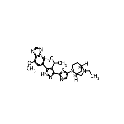 CCN1C[C@H]2C[C@@H]1CCN2c1cnc(-c2n[nH]c(-c3cc(OC)c4ncnn4c3)c2C(C)C)s1